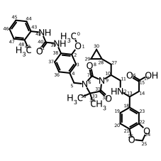 COc1cc(CN2C(=O)N(C(CNC(CC(=O)O)c3ccc4c(c3)OCO4)CC3CC3)C(=O)C2(C)C)ccc1NC(=O)Nc1ccccc1C